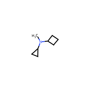 CN(C1[CH]CC1)C1CC1